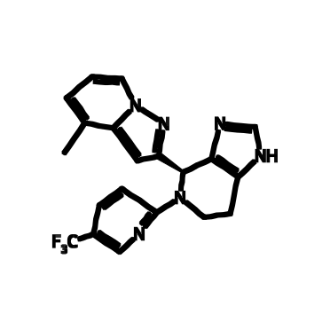 Cc1cccn2nc([C@H]3c4nc[nH]c4CCN3c3ccc(C(F)(F)F)cn3)cc12